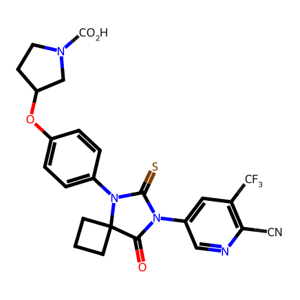 N#Cc1ncc(N2C(=O)C3(CCC3)N(c3ccc(OC4CCN(C(=O)O)C4)cc3)C2=S)cc1C(F)(F)F